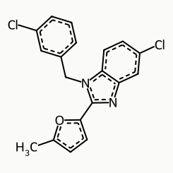 Cc1ccc(-c2nc3cc(Cl)ccc3n2Cc2cccc(Cl)c2)o1